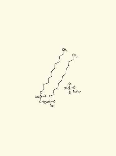 CCCCCCCCCCCCOS(=O)(=O)O.CCCCCCCCCCCCOS(=O)(=O)O.O=S(=O)([O-])[O-].[K+].[Na+]